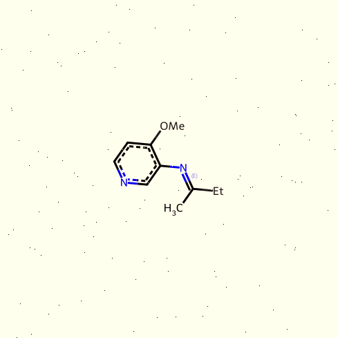 CC/C(C)=N/c1cnccc1OC